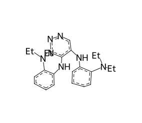 CCN(CC)c1ccccc1Nc1cnnnc1Nc1ccccc1N(CC)CC